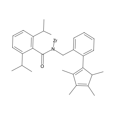 CC1=C(C)C(C)C(c2ccccc2C[N]([Zr])C(=O)c2c(C(C)C)cccc2C(C)C)=C1C